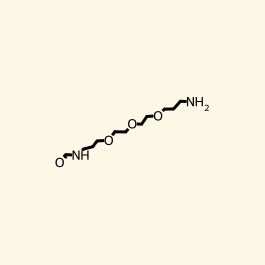 NCCCOCCOCCOCCCNC=O